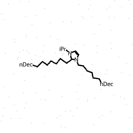 CCCCCCCCCCCCCCCCCC1N(CCCCCCCCCCCCCCCC)C=CN1C(C)C